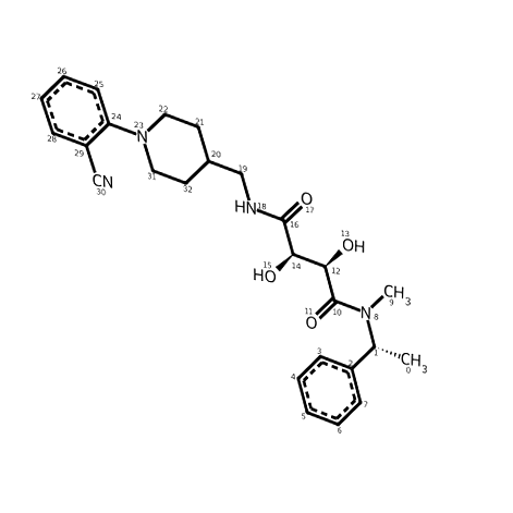 C[C@H](c1ccccc1)N(C)C(=O)[C@H](O)[C@@H](O)C(=O)NCC1CCN(c2ccccc2C#N)CC1